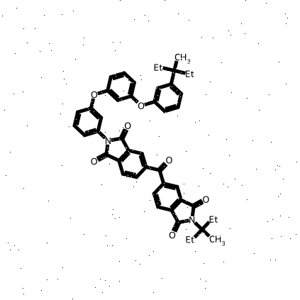 CCC(C)(CC)c1cccc(Oc2cccc(Oc3cccc(N4C(=O)c5ccc(C(=O)c6ccc7c(c6)C(=O)N(C(C)(CC)CC)C7=O)cc5C4=O)c3)c2)c1